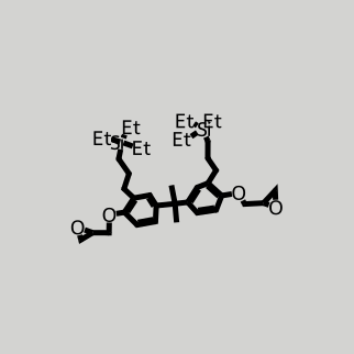 CC[Si](CC)(CC)CCCc1cc(C(C)(C)c2ccc(OCC3CO3)c(CCC[Si](CC)(CC)CC)c2)ccc1OCC1CO1